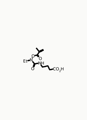 C=C(C)C(=O)ON(CC)C(=O)NCCCC(=O)O